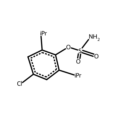 CC(C)c1cc(Cl)cc(C(C)C)c1OS(N)(=O)=O